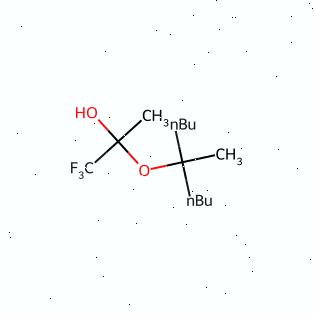 CCCCC(C)(CCCC)OC(C)(O)C(F)(F)F